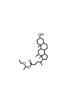 CCOC(C)OC(=O)CCC(C)C1CCC2C3CCC4CC(O)CCC4(C)C3CC(C)C12C